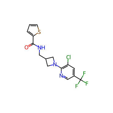 O=C(NCC1CN(c2ncc(C(F)(F)F)cc2Cl)C1)c1cccs1